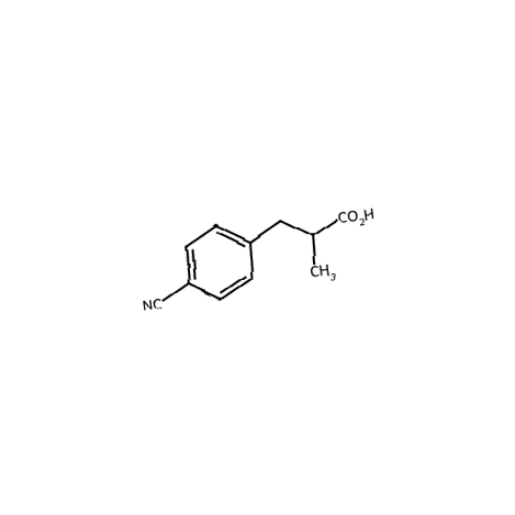 CC(Cc1ccc(C#N)cc1)C(=O)O